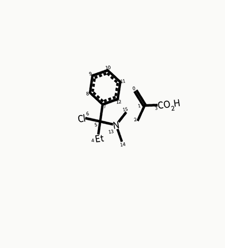 C=C(C)C(=O)O.CCC(Cl)(c1ccccc1)N(C)C